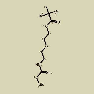 CC(C)(C)OC(=O)NCCOCCOC(=O)C(C)(Br)Br